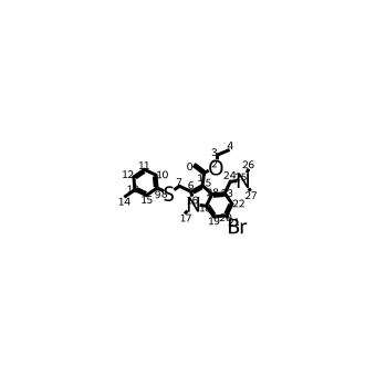 C=C(OCC)c1c(CSc2cccc(C)c2)n(C)c2cc(Br)cc(CN(C)C)c12